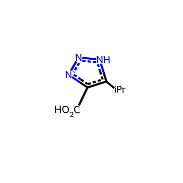 CC(C)c1[nH]nnc1C(=O)O